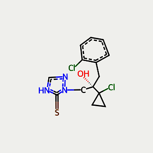 O[C@@](Cc1ccccc1Cl)(Cn1nc[nH]c1=S)C1(Cl)CC1